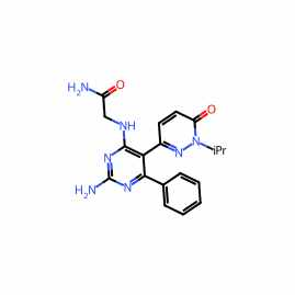 CC(C)n1nc(-c2c(NCC(N)=O)nc(N)nc2-c2ccccc2)ccc1=O